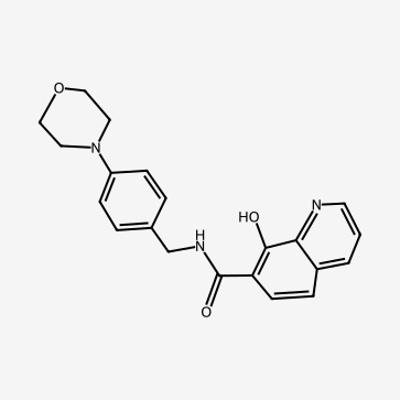 O=C(NCc1ccc(N2CCOCC2)cc1)c1ccc2cccnc2c1O